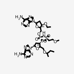 CCO[C@@H]1C[C@H](n2cnc3c(N)ncnc32)OC1COP(=O)(NS(=O)(=O)CCOC)O[C@@H]1C[C@H](n2cnc3c(N)ncnc32)OC1COC(C)CC